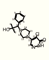 CC(C)(O)C(c1ccccc1)N1CCN(c2cn[nH]c(=O)c2Cl)CC1